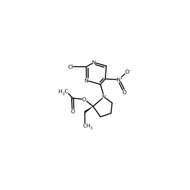 CC[C@]1(OC(C)=O)CCCN1c1nc(Cl)ncc1[N+](=O)[O-]